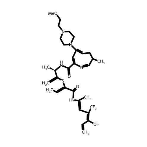 C=C/C(O)=C(\C=C(/C)NC(=O)/C(=C/C)SC(=C)[C@@H](C)NC(=O)C1=C/C(N2CCN(CCOC)CC2)=C/CC(C)/C=N\1)C(F)(F)F